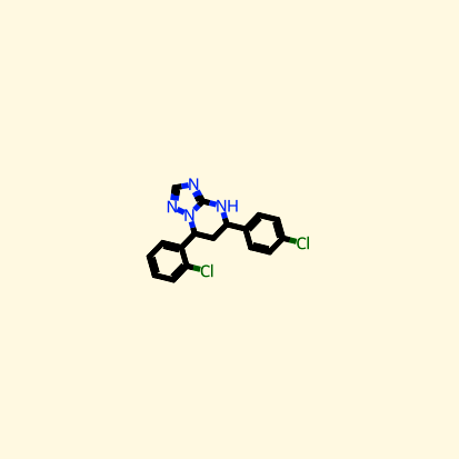 Clc1ccc(C2CC(c3ccccc3Cl)n3ncnc3N2)cc1